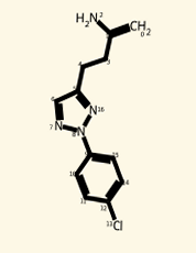 C=C(N)CCc1cnn(-c2ccc(Cl)cc2)n1